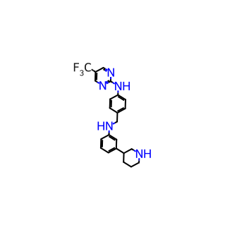 FC(F)(F)c1cnc(Nc2ccc(CNc3cccc(C4CCCNC4)c3)cc2)nc1